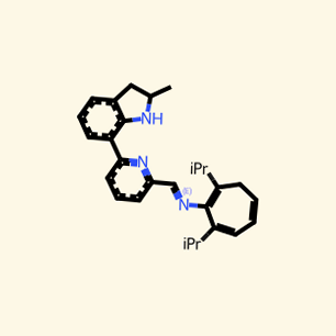 CC1Cc2cccc(-c3cccc(/C=N/C4=C(C(C)C)CC=CC=C4C(C)C)n3)c2N1